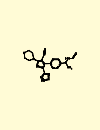 N#Cc1c(N2CCOCC2)sc(-c2nc[nH]n2)c1-c1ccc(N(N)NC=O)cc1